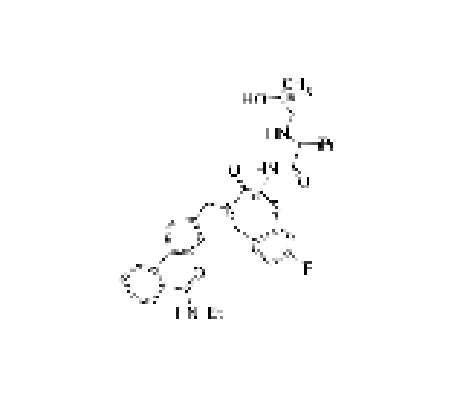 CCNC(=O)c1ccccc1-c1ccc(CN2Cc3ccc(F)cc3S[C@@H](NC(=O)C(NC[C@@H](C)O)C(C)C)C2=O)cc1